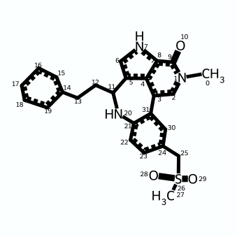 Cn1cc2c3c(c[nH]c3c1=O)C(CCc1ccccc1)Nc1ccc(CS(C)(=O)=O)cc1-2